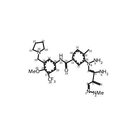 C=C(/C=N\NC)/C(N)=C/N(N)c1cc(C(=O)Nc2cc(CN3CCCC3)c(OC)c(C(F)(F)F)c2)ccc1C